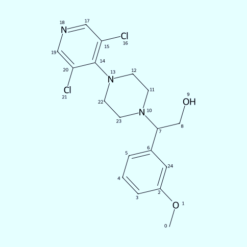 COc1cccc(C(CO)N2CCN(c3c(Cl)cncc3Cl)CC2)c1